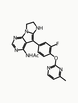 CC(=O)Nc1ncnc2c1c(-c1ccc(Oc3nccc(C)n3)c(F)c1)c1n2CCN1